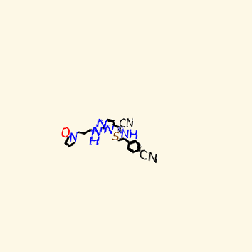 N#C/C(=C1\NC(c2ccc(C#N)cc2)=CS1)c1ccnc(NCCCN2CCCC2=O)n1